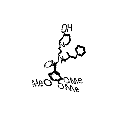 COc1cc(C(=O)N(CCCN2CCCC(O)C2)CC(C)=Cc2ccccc2)cc(OC)c1OC